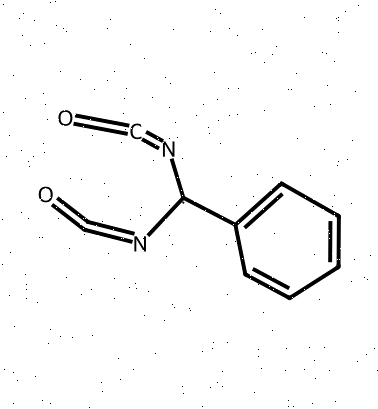 O=C=N[C](N=C=O)c1ccccc1